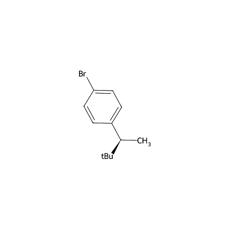 C[C@H](c1ccc(Br)cc1)C(C)(C)C